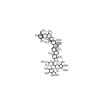 C/C=C(/C)C(=O)OC1C(O)[C@H](O[C@H]2[C@H](OC(C)=O)[C@@]3(CO)C(CC2(C)C)C2=CCC4[C@@]5(C)CC[C@H](O[C@H](OC(C)C(=O)O)C(O[C@@H]6OC(CO)[C@H](O)C(O)C6O)C(CO)O[C@@H]6O[C@@H](CO)C(O)C6O)C(C)(C)C5CC[C@@]4(C)[C@]2(C)C[C@H]3O)OC(C)[C@@H]1OC(=O)/C(C)=C\C